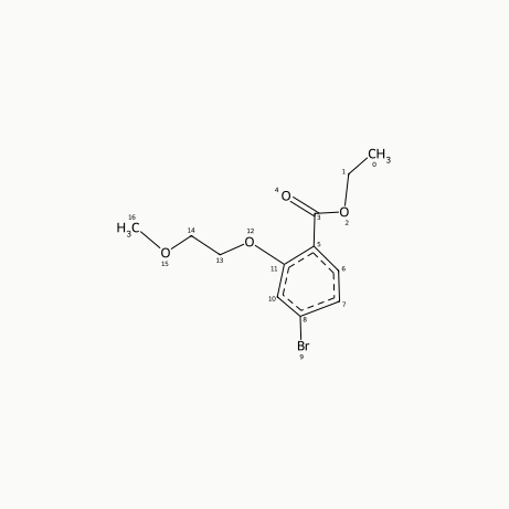 CCOC(=O)c1ccc(Br)cc1OCCOC